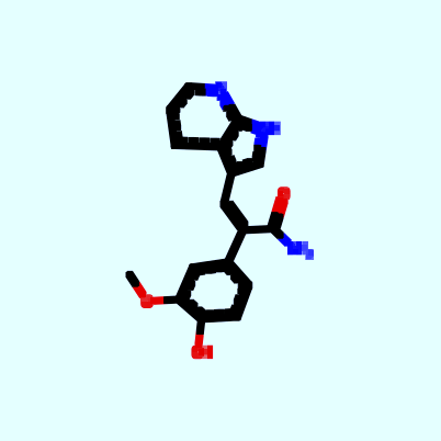 COc1cc(/C(=C/c2c[nH]c3ncccc23)C(N)=O)ccc1O